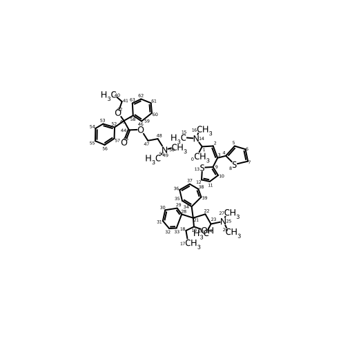 CC(C=C(c1cccs1)c1cccs1)N(C)C.CCC(O)C(CC(C)N(C)C)(c1ccccc1)c1ccccc1.CCOC(C(=O)OCCN(C)C)(c1ccccc1)c1ccccc1